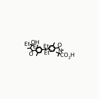 CCC(CC)(c1ccc(C(=O)C(C)C(O)(CC)CC)c(C)c1)c1ccc(C(=O)N(C)C(C)(C)C(=O)O)c(C)c1